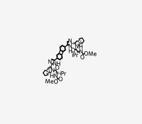 COC(=O)N[C@H](C(=O)N1C[Si]2(CCCC2)C[C@H]1c1ncc(-c2ccc3c(c2)-c2ccc(-c4cnc([C@@H]5C[Si]6(CCCC6)CN5C(=O)[C@@H](NC(=O)OC)C(C)C)[nH]4)cc2-3)[nH]1)C(C)C